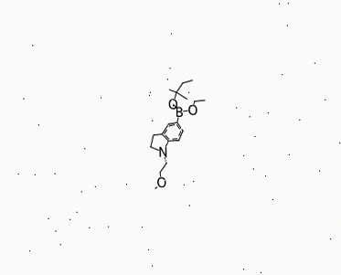 CCOB(OC(C)(C)CC)c1ccc2c(c1)CCN2CCOC